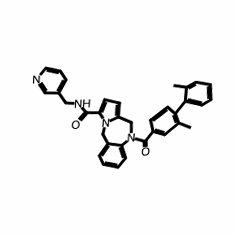 Cc1ccccc1-c1ccc(C(=O)N2Cc3ccc(C(=O)NCc4cccnc4)n3Cc3ccccc32)cc1C